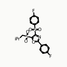 CC(C)CS(=O)(=O)c1oc(-c2ccc(F)cc2)nc1S(=O)(=O)c1ccc(F)cc1